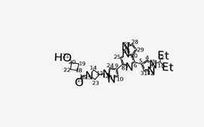 CCC(CC)n1cc(-c2nc(-c3cnn(C4CN(C(=O)[C@H]5C[C@H](O)C5)C4)c3)cn3nccc23)cn1